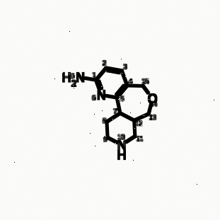 Nc1ccc2c(n1)C1CCNCC1COC2